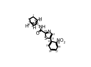 O=C(N[C@@H]1C[C@H]2CC[C@@H]1N2)c1ncc(-c2ccccc2[N+](=O)[O-])s1